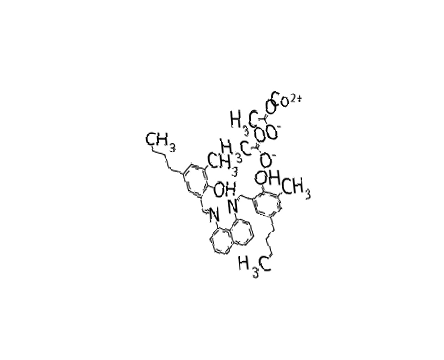 CC(=O)[O-].CC(=O)[O-].CCCCc1cc(C)c(O)c(C=Nc2cccc3cccc(N=Cc4cc(CCCC)cc(C)c4O)c23)c1.[Co+2]